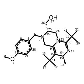 COc1ccc(CN2CC3=C(C(C)(C)C)[C@H](C)N=C(C(C)(C)C)N3C[C@H]2CO)cc1